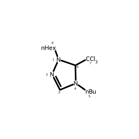 CCCCCCN1N=CN(CCCC)C1C(Cl)(Cl)Cl